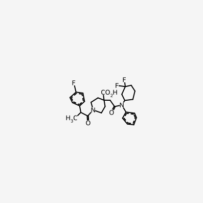 CC(C(=O)N1CCC(CC(=O)N(c2ccccc2)C2CCCC(F)(F)C2)(C(=O)O)CC1)c1ccc(F)cc1